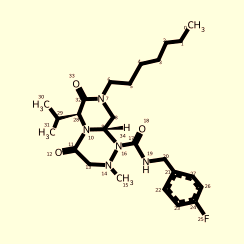 CCCCCCCN1C[C@H]2N(C(=O)CN(C)N2C(=O)NCc2ccc(F)cc2)[C@@H](C(C)C)C1=O